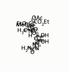 CCOC(=O)C(COC(C)=O)(COP(=O)(N[C@@H](C)C(=O)OC)OC[C@H]1O[C@@H](n2cnc(C(N)=O)n2)[C@@H](O)C1O)C(=O)OCC